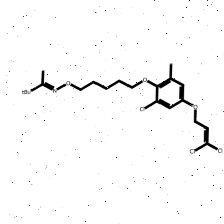 C/C(=N\OCCCCCOc1c(C)cc(OCC=C(Cl)Cl)cc1Cl)C(C)(C)C